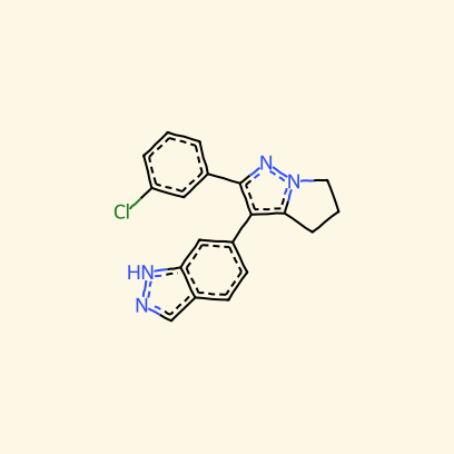 Clc1cccc(-c2nn3c(c2-c2ccc4cn[nH]c4c2)CCC3)c1